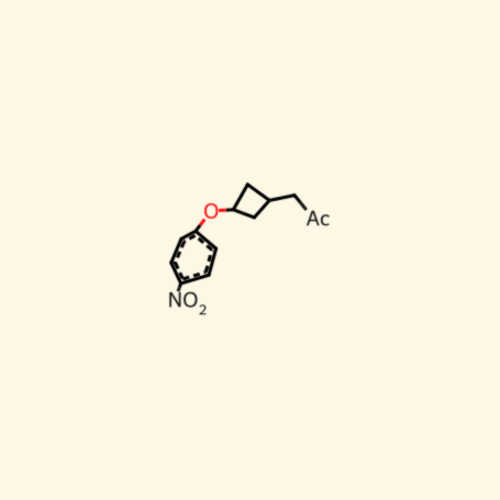 CC(=O)CC1CC(Oc2ccc([N+](=O)[O-])cc2)C1